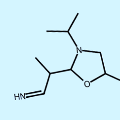 CC1CN(C(C)C)C(C(C)C=N)O1